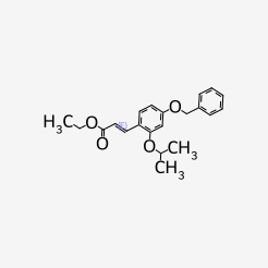 CCOC(=O)/C=C/c1ccc(OCc2ccccc2)cc1OC(C)C